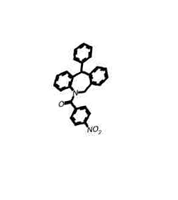 O=C(c1ccc([N+](=O)[O-])cc1)N1Cc2ccccc2C(c2ccccc2)c2ccccc21